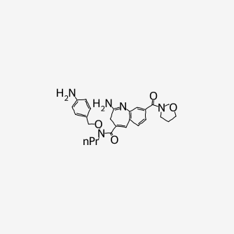 CCCN(OCc1ccc(N)cc1)C(=O)C1=Cc2ccc(C(=O)N3CCCOC3)cc2N=C(N)C1